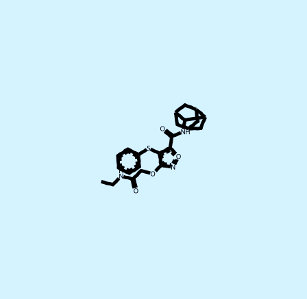 CCNC(=O)COc1noc(C(=O)NC2C3CC4CC(C3)C2C4)c1Sc1ccccc1